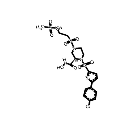 CS(=O)(=O)NCCS(=O)(=O)N1CCN(S(=O)(=O)c2ccc(-c3ccc(Cl)cc3)s2)[C@@H](C(=O)NO)C1